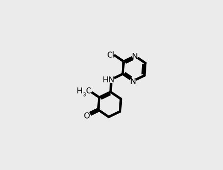 CC1=C(Nc2nccnc2Cl)CCCC1=O